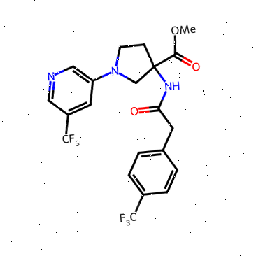 COC(=O)C1(NC(=O)Cc2ccc(C(F)(F)F)cc2)CCN(c2cncc(C(F)(F)F)c2)C1